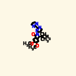 COc1cc2c(cc1OC)C(C(C)(C)C)N(c1ccnc(-c3ncccn3)n1)C2=O